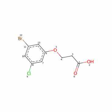 O=C(O)CCOc1cc(Cl)cc(Br)c1